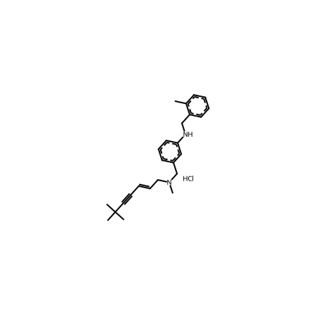 Cc1ccccc1CNc1cccc(CN(C)C/C=C/C#CC(C)(C)C)c1.Cl